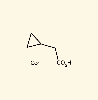 O=C(O)CC1CC1.[Co]